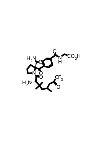 CC(CC(=O)C(F)(F)F)CC(C)(C)[C@H](N)C(=O)N1CCC[C@]1(C(N)=O)C(=O)c1ccc(C(=O)NCC(=O)O)cc1